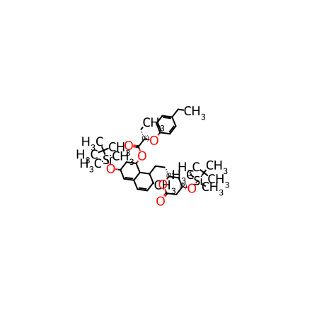 CCc1ccc(O[C@@H](CC)C(=O)OC2CC(O[Si](C)(C)C(C)(C)C)C=C3C=CC(C)C(CC[C@@H]4C[C@@H](O[Si](C)(C)C(C)(C)C)CC(=O)O4)C32)cc1